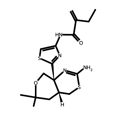 C=C(CC)C(=O)Nc1csc([C@]23COC(C)(C)C[C@H]2CSC(N)=N3)n1